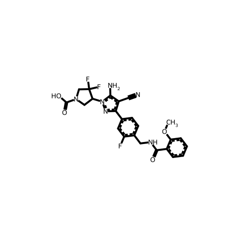 COc1ccccc1C(=O)NCc1ccc(-c2nn(C3CN(C(=O)O)CC3(F)F)c(N)c2C#N)cc1F